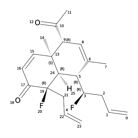 C=CC[C@@H](F)[C@H]1C(C)=C[C@@H](C(C)=O)[C@]2(C)C=CC(=O)[C@@](F)(CC=C)[C@H]12